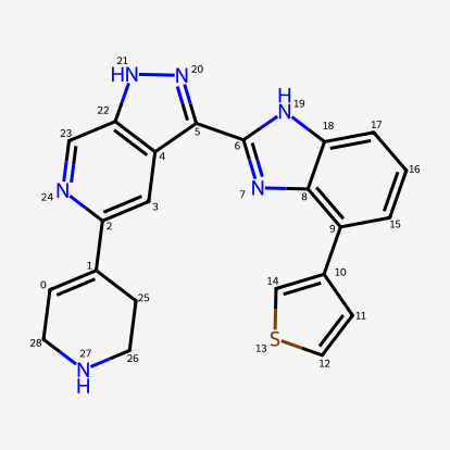 C1=C(c2cc3c(-c4nc5c(-c6ccsc6)cccc5[nH]4)n[nH]c3cn2)CCNC1